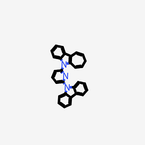 C1=Cc2c(n(-c3cccc(-n4c5ccccc5c5ccccc54)n3)c3ccccc23)C=CC1